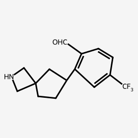 O=Cc1ccc(C(F)(F)F)cc1C1CCC2(CNC2)C1